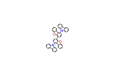 c1ccc2c(c1)oc1c(-c3ccc(-n4c5ccccc5c5ccccc54)c4c3oc3ccccc34)ccc(-n3c4ccccc4c4ccccc43)c12